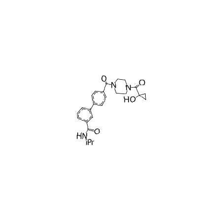 CC(C)NC(=O)c1cccc(-c2ccc(C(=O)N3CCN(C(=O)C4(O)CC4)CC3)cc2)c1